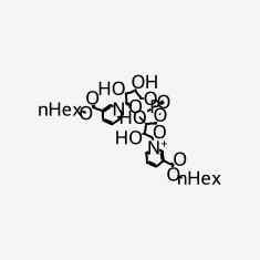 CCCCCCOC(=O)c1ccc[n+]([C@@H]2O[C@H](OP(C)(=O)O[C@H]3O[C@@H]([n+]4cccc(C(=O)OCCCCCC)c4)[C@@H](O)[C@H]3O)[C@H](O)[C@@H]2O)c1